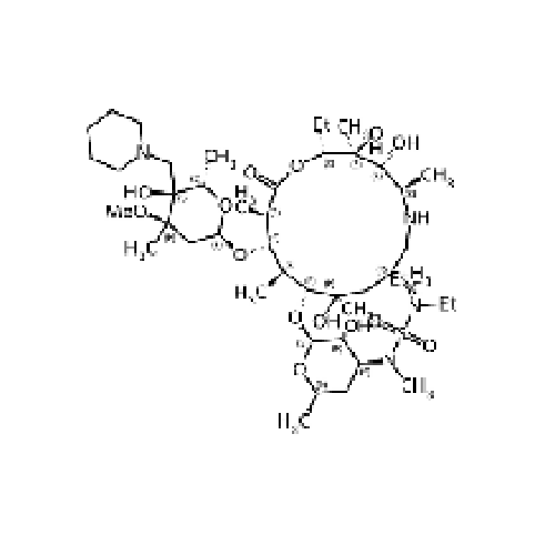 CC[C@H]1OC(=O)[C@H](C)[C@@H](O[C@H]2C[C@@](C)(OC)[C@](O)(CN3CCCCC3)[C@H](C)O2)[C@H](C)[C@@H](O[C@@H]2O[C@H](C)C[C@H](N(C)S(=O)(=O)N(CC)CC)[C@H]2O)[C@](C)(O)C[C@@H](C)CN[C@H](C)[C@@H](O)[C@]1(C)O